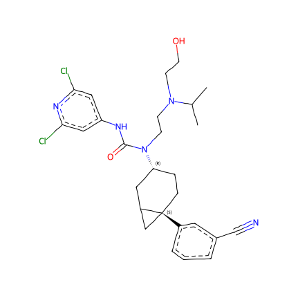 CC(C)N(CCO)CCN(C(=O)Nc1cc(Cl)nc(Cl)c1)[C@@H]1CC[C@]2(c3cccc(C#N)c3)CC2C1